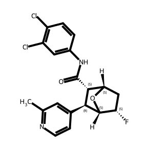 Cc1cc([C@@H]2[C@@H]3O[C@@H](C[C@@H]3F)[C@H]2C(=O)Nc2ccc(Cl)c(Cl)c2)ccn1